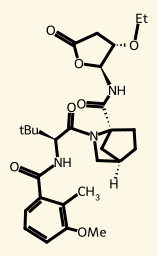 CCO[C@H]1CC(=O)O[C@@H]1NC(=O)[C@@]12CC[C@@H](CN1C(=O)[C@@H](NC(=O)c1cccc(OC)c1C)C(C)(C)C)C2